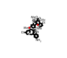 CCC1=C[C@H]2CN(C1)Cc1c([nH]c3ccc(N)cc13)[C@@](C(=O)OC)(C1C=C3C(=CC1OC)N(C)[C@H]1[C@@](O)(C(=O)OC)[C@H](OC(C)=O)C4[C@@H](CC)CCN5CC[C@]31[C@H]45)C2